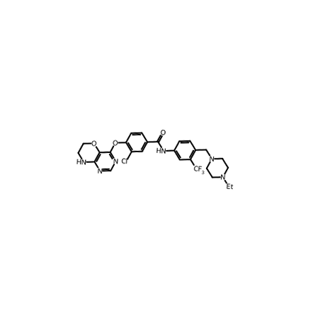 CCN1CCN(Cc2ccc(NC(=O)c3ccc(Oc4ncnc5c4OCCN5)c(Cl)c3)cc2C(F)(F)F)CC1